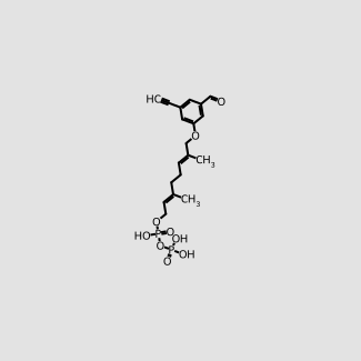 C#Cc1cc(C=O)cc(OC/C(C)=C/CC/C(C)=C/COP(=O)(O)OP(=O)(O)O)c1